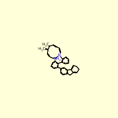 C=C1/C=C\C=C/N(c2ccccc2-c2c(N)cccc2-c2ccc3c(c2)C2=CCCC=C2C3)CC/C=C\C1=C